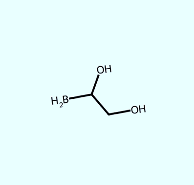 BC(O)CO